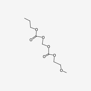 CCCOC(=O)OCOC(=O)OCCOC